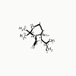 C[C@H](O)[C@@H]1C(=O)N2[C@@H]1CCOC2(C)C